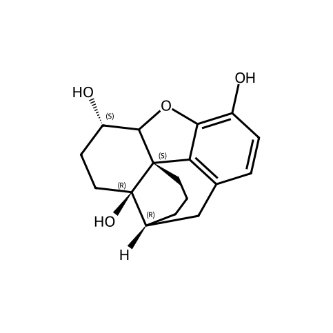 Oc1ccc2c3c1OC1[C@@H](O)CC[C@@]4(O)[C@H](CCC[C@]314)C2